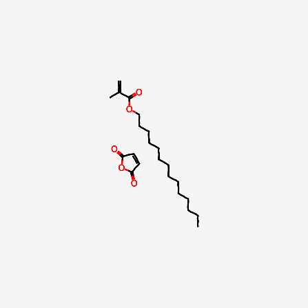 C=C(C)C(=O)OCCCCCCCCCCCCCC.O=C1C=CC(=O)O1